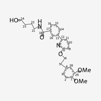 COc1ccc(CCOc2cccc(-c3cccc(C(=O)NCCCCO)c3)n2)cc1OC